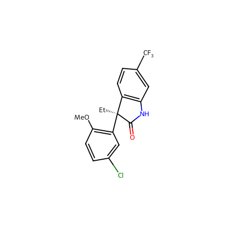 CC[C@@]1(c2cc(Cl)ccc2OC)C(=O)Nc2cc(C(F)(F)F)ccc21